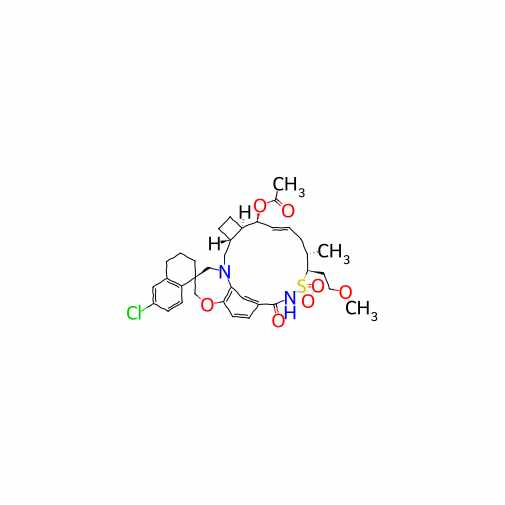 COCC[C@@H]1[C@@H](C)C/C=C/[C@H](OC(C)=O)[C@@H]2CC[C@H]2CN2C[C@@]3(CCCc4cc(Cl)ccc43)COc3ccc(cc32)C(=O)NS1(=O)=O